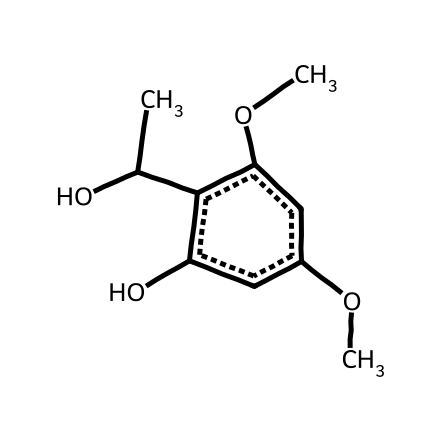 COc1cc(O)c(C(C)O)c(OC)c1